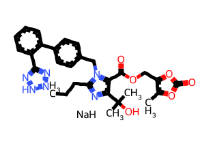 CCCc1nc(C(C)(C)O)c(C(=O)OCc2oc(=O)oc2C)n1Cc1ccc(-c2ccccc2-c2nn[nH]n2)cc1.[NaH]